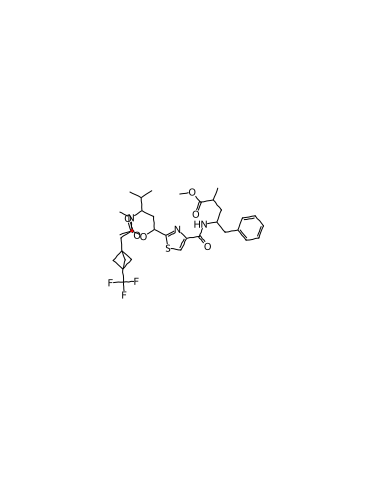 COC(=O)C(C)CC(Cc1ccccc1)NC(=O)c1csc(C(CC(C(C)C)N(C)C(=O)CC23CC(C(F)(F)F)(C2)C3)OC(C)=O)n1